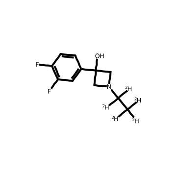 [2H]C([2H])([2H])C([2H])([2H])N1CC(O)(c2ccc(F)c(F)c2)C1